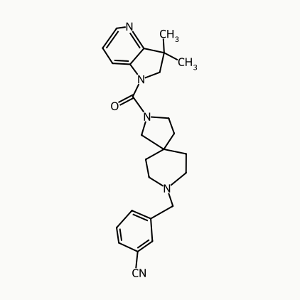 CC1(C)CN(C(=O)N2CCC3(CCN(Cc4cccc(C#N)c4)CC3)C2)c2cccnc21